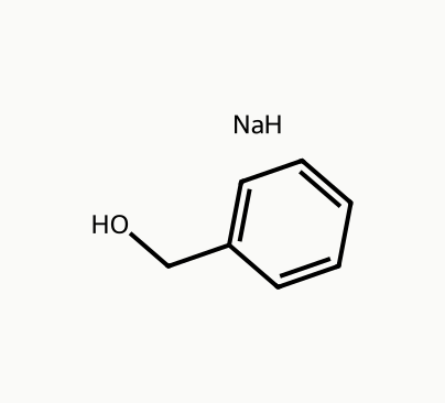 OCc1ccccc1.[NaH]